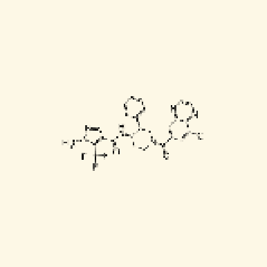 Cn1ncc(C(=O)N[C@@H]2CCN(C(=O)c3cc(Cl)c4nccnc4c3)C[C@@H]2c2ccccc2)c1C(F)(F)F